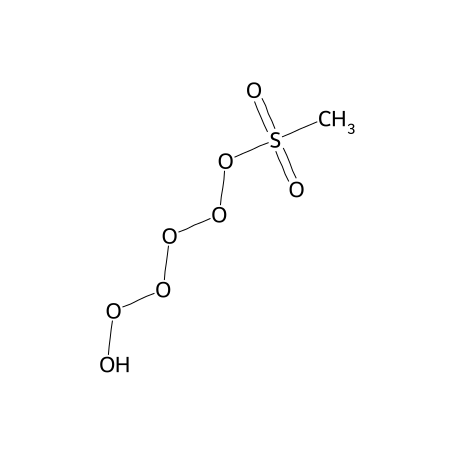 CS(=O)(=O)OOOOOO